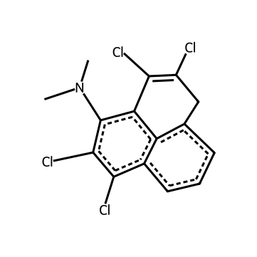 CN(C)c1c(Cl)c(Cl)c2cccc3c2c1C(Cl)=C(Cl)C3